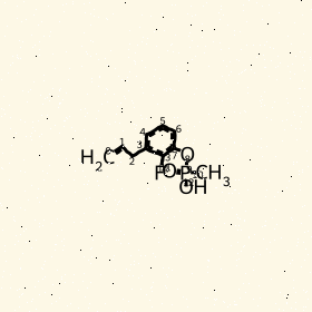 C=CCc1cccc(OP(C)(=O)O)c1F